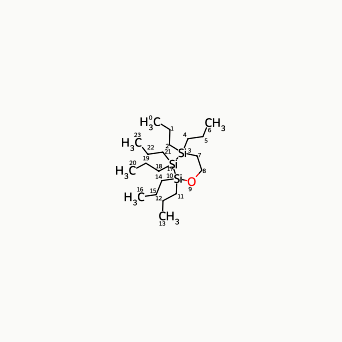 CCC[Si]1(CCC)CCO[Si](CCC)(CCC)[Si]1(CCC)CCC